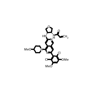 C=CC(=O)N[C@H]1COC[C@H]1Nc1cc2c(N3CCC(OC)CC3)nc(-c3c(Cl)c(OC)cc(OC)c3Cl)cc2cn1